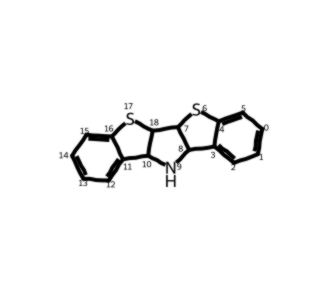 c1ccc2c(c1)SC1C2NC2c3ccccc3SC21